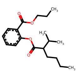 CCCCC(C(=O)Oc1ccccc1C(=O)OCCC)C(C)C